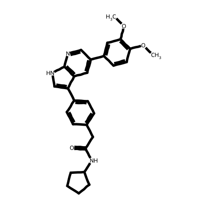 COc1ccc(-c2cnc3[nH]cc(-c4ccc(CC(=O)NC5CCCC5)cc4)c3c2)cc1OC